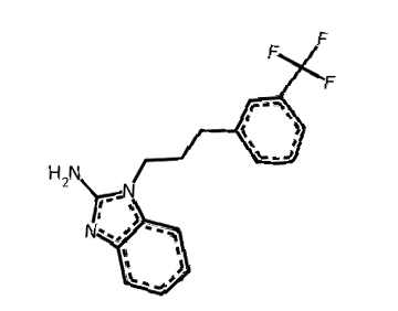 Nc1nc2ccccc2n1CCCc1cccc(C(F)(F)F)c1